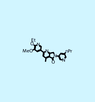 CCCc1cncc(N2Cc3nc(-c4cnc(OCC)c(OC)c4)cc(C)c3C2=O)c1